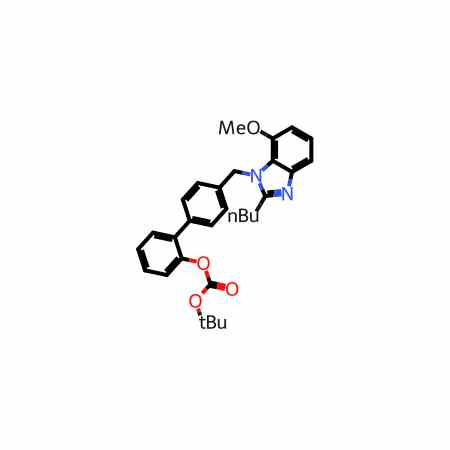 CCCCc1nc2cccc(OC)c2n1Cc1ccc(-c2ccccc2OC(=O)OC(C)(C)C)cc1